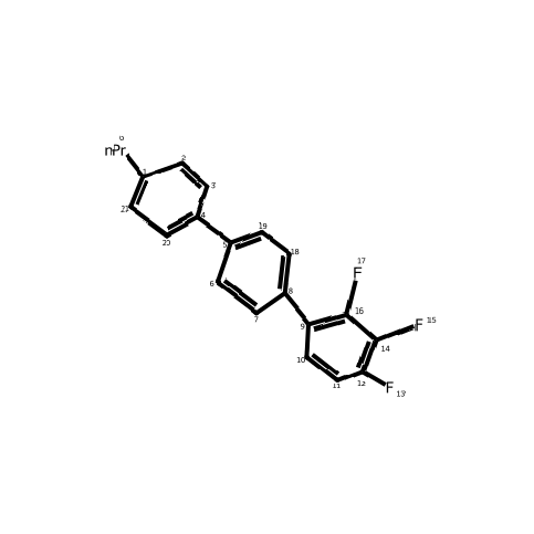 CCCc1ccc(-c2ccc(-c3ccc(F)c(F)c3F)cc2)cc1